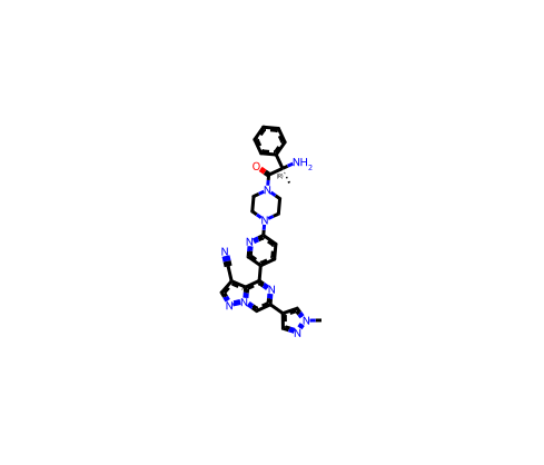 Cn1cc(-c2cn3ncc(C#N)c3c(-c3ccc(N4CCN(C(=O)[C@](C)(N)c5ccccc5)CC4)nc3)n2)cn1